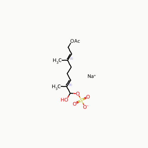 CC(=O)OC/C=C(\C)CC/C=C(\C)C(O)OS(=O)(=O)[O-].[Na+]